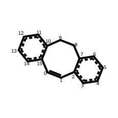 C1=Cc2ccccc2CCc2ccccc21